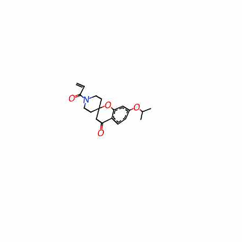 C=CC(=O)N1CCC2(CC1)CC(=O)c1ccc(OC(C)C)cc1O2